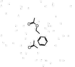 CC(C)=O.CCOC(C)=O.c1ccccc1